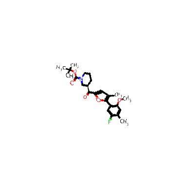 COc1cc(C)c(F)cc1-c1oc(C(=O)[C@@H]2CCCN(C(=O)OC(C)(C)C)C2)cc1C